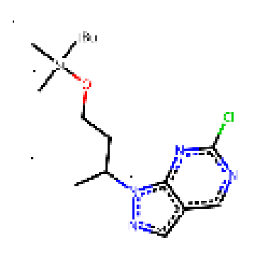 CC(CCO[Si](C)(C)C(C)(C)C)n1ncc2cnc(Cl)nc21